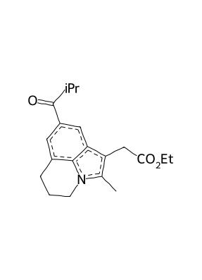 CCOC(=O)Cc1c(C)n2c3c(cc(C(=O)C(C)C)cc13)CCC2